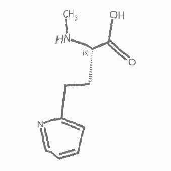 CN[C@@H](CCc1ccccn1)C(=O)O